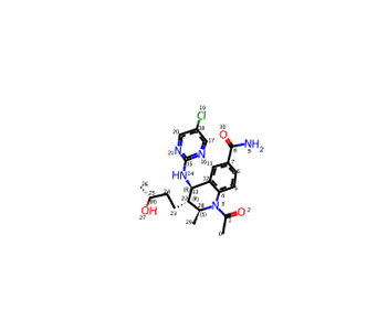 CC(=O)N1c2ccc(C(N)=O)cc2[C@H](Nc2ncc(Cl)cn2)[C@@H](CC[C@@H](C)O)[C@@H]1C